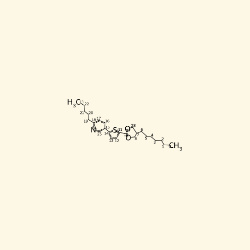 CCCCCCCC1COC(c2ccc(-c3ccc(CCCCC)nc3)s2)OC1